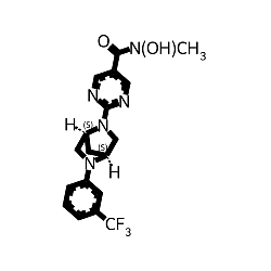 CN(O)C(=O)c1cnc(N2C[C@@H]3C[C@H]2CN3c2cccc(C(F)(F)F)c2)nc1